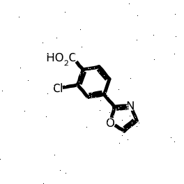 O=C(O)c1ccc(-c2ncco2)cc1Cl